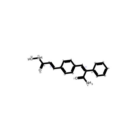 NC(=O)/C(=C\c1ccc(/C=C/C(=O)NO)cc1)c1ccccc1